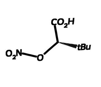 CC(C)(C)[C@H](O[N+](=O)[O-])C(=O)O